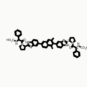 Cc1cc2cc(-c3ccc4[nH]c(C5CCCN5C(=O)C(NC(=O)O)c5ccccc5)nc4c3)ccc2c(C)c1-c1ccc2[nH]c([C@@H]3CCCN3C(=O)[C@H](NC(=O)O)c3ccccc3)nc2c1